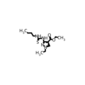 CCCCNC(=S)Nc1nn(CC)cc1C(=O)OCC